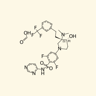 CN(C)[C@@]1(CCc2cccc(C(F)(F)F)c2)CN(c2cc(F)c(S(=O)(=O)Nc3ccncn3)c(F)c2)CC[C@H]1O.O=CO